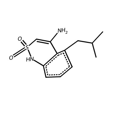 CC(C)Cc1cccc2c1C(N)=CS(=O)(=O)N2